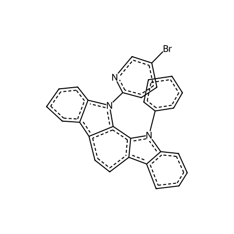 Brc1ccc(-n2c3ccccc3c3ccc4c5ccccc5n(-c5ccccc5)c4c32)nc1